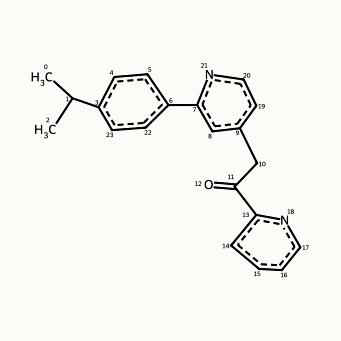 CC(C)c1ccc(-c2cc(CC(=O)c3ccccn3)ccn2)cc1